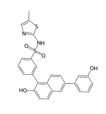 Cc1cnc(NS(=O)(=O)c2cccc(-c3c(O)ccc4cc(-c5cccc(O)c5)ccc34)c2)s1